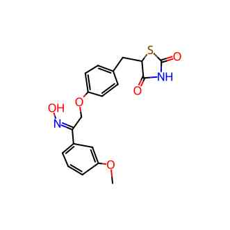 COc1cccc(/C(COc2ccc(CC3SC(=O)NC3=O)cc2)=N/O)c1